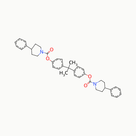 CC(C)(c1ccc(OC(=O)N2CCC(c3ccccc3)CC2)cc1)c1ccc(OC(=O)N2CCC(c3ccccc3)CC2)cc1